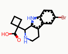 O=C(O)C1(C2NCCc3c2[nH]c2ccc(Br)cc32)CCC1